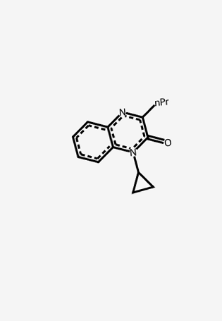 CCCc1nc2ccccc2n(C2CC2)c1=O